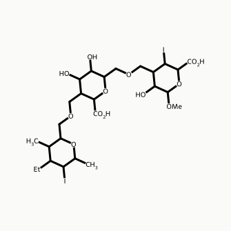 CCC1C(C)C(COCC2C(C(=O)O)OC(COCC3C(O)C(OC)OC(C(=O)O)C3I)C(O)C2O)OC(C)C1I